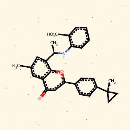 Cc1cc([C@@H](C)Nc2ccccc2C(=O)O)c2oc(-c3ccc(C4(C)CC4)cc3)cc(=O)c2c1